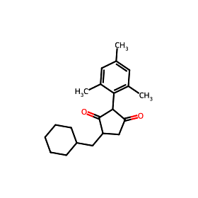 Cc1cc(C)c(C2C(=O)CC(CC3CCCCC3)C2=O)c(C)c1